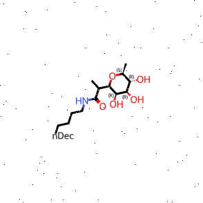 CCCCCCCCCCCCCCNC(=O)C(C)C1O[C@@H](C)[C@H](O)[C@@H](O)[C@H]1O